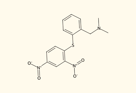 CN(C)Cc1ccccc1Sc1ccc([N+](=O)[O-])cc1[N+](=O)[O-]